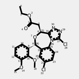 CCOC(=O)C[C@@H]1O[C@@H](c2cccc(OC)c2OC)c2cc(Cl)ccc2-n2c(Cl)nnc21